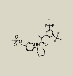 CC(C(=O)NC1(c2ccc(COS(C)(=O)=O)cc2)CCCCC1)c1cc(C(F)(F)F)cc(C(F)(F)F)c1